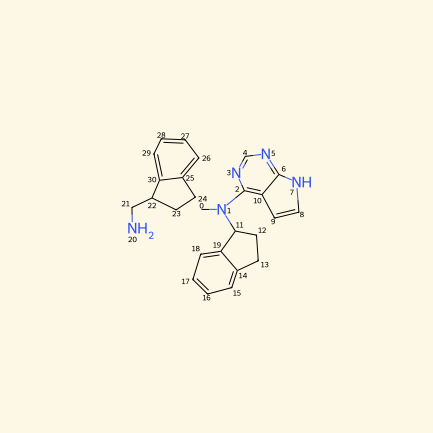 CN(c1ncnc2[nH]ccc12)C1CCc2ccccc21.NCC1CCc2ccccc21